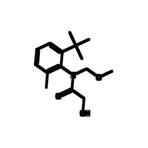 COCN(C(=O)CO)c1c(C)cccc1C(C)(C)C